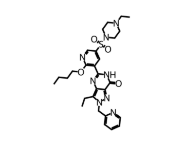 CCCCOc1ncc(S(=O)(=O)N2CCN(CC)CC2)cc1-c1nc2c(CC)n(Cc3ccccn3)nc2c(=O)[nH]1